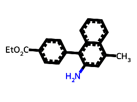 CCOC(=O)c1ccc(-c2c(N)cc(C)c3ccccc23)cc1